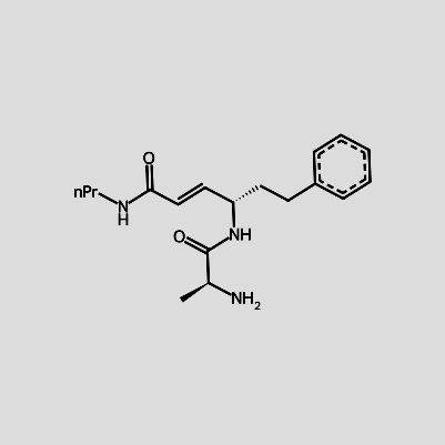 CCCNC(=O)C=C[C@H](CCc1ccccc1)NC(=O)[C@H](C)N